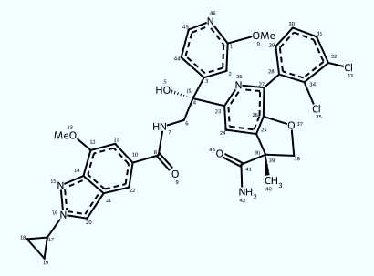 COc1cc([C@](O)(CNC(=O)c2cc(OC)c3nn(C4CC4)cc3c2)c2cc3c(c(-c4cccc(Cl)c4Cl)n2)OC[C@]3(C)C(N)=O)ccn1